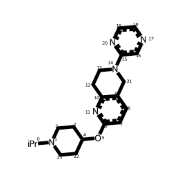 CC(C)N1CCC(Oc2ccc3c(n2)CCN(c2cnccn2)C3)CC1